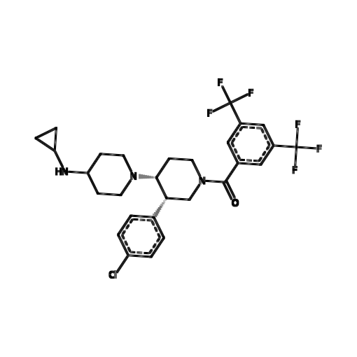 O=C(c1cc(C(F)(F)F)cc(C(F)(F)F)c1)N1CC[C@@H](N2CCC(NC3CC3)CC2)[C@@H](c2ccc(Cl)cc2)C1